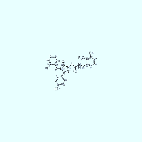 O=C(Cn1nc(-c2ccc(Cl)cc2)n(Cc2ccccc2F)c1=O)NCc1cccc(F)c1C(F)(F)F